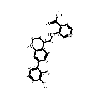 O=C(O)c1ccncc1NCC1CCOc2cc(-c3cccc(F)c3Cl)ccc21